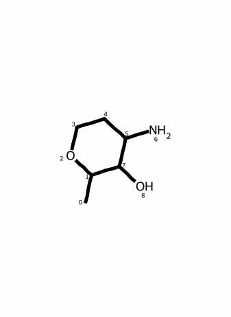 CC1OCCC(N)C1O